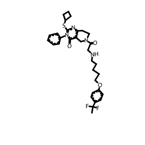 CC(F)(F)c1ccc(OCCCCCNCC(=O)N2CCc3nc(SC4CCC4)n(-c4ccccc4)c(=O)c3C2)cc1